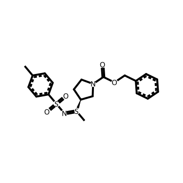 Cc1ccc(S(=O)(=O)/N=S(/C)[C@H]2CCN(C(=O)OCc3ccccc3)C2)cc1